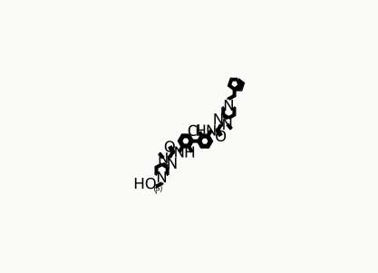 Cc1c(NC(=O)c2nc3c(n2C)CCN(C[C@H](C)O)C3)cccc1-c1cccc(NC(=O)c2nc3c(n2C)CCN(CCC24CCC(CC2)C4)C3)c1Cl